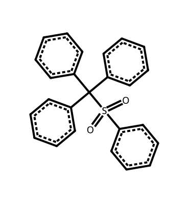 O=S(=O)(c1ccccc1)C(c1ccccc1)(c1ccccc1)c1ccccc1